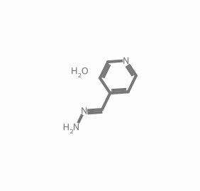 NN=Cc1ccncc1.O